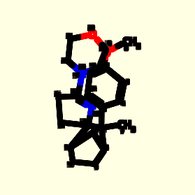 COc1ccc(C2(C)C3CCC(C3)C23CCC(N2CCOCC2)=N3)cc1